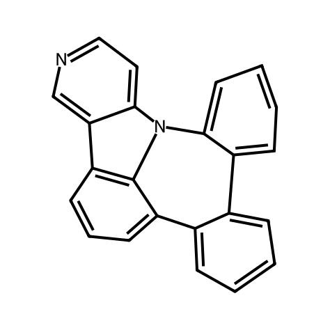 c1ccc2c(c1)-c1ccccc1-n1c3ccncc3c3cccc-2c31